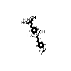 Cl.NC(CO)(CO)CCc1ccc(OCCCc2ccc(OC(F)(F)F)cc2)c(C(F)(F)F)c1